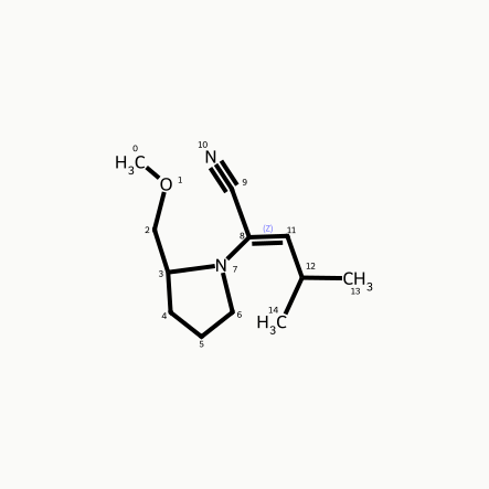 COCC1CCCN1/C(C#N)=C\C(C)C